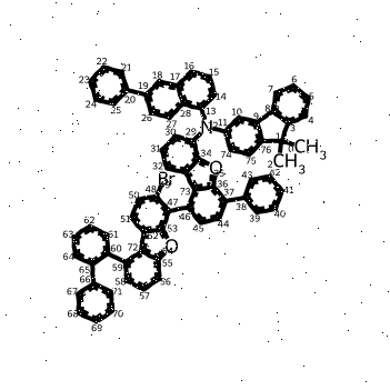 CC1(C)c2ccccc2-c2cc(N(c3cccc4cc(-c5ccccc5)ccc34)c3cccc4c3oc3c(-c5ccccc5)ccc(-c5c(Br)ccc6c5oc5cccc(-c7ccccc7-c7ccccc7)c56)c34)ccc21